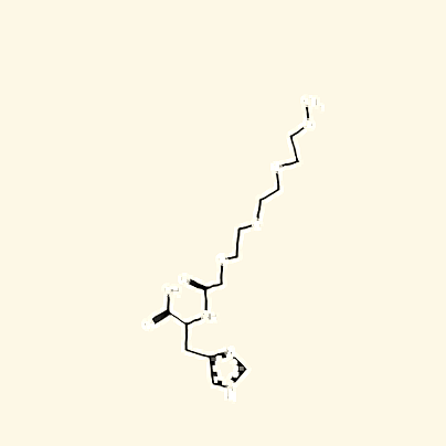 COCCOCCOCCOCC(=O)NC(Cc1c[nH]cn1)C(=O)O